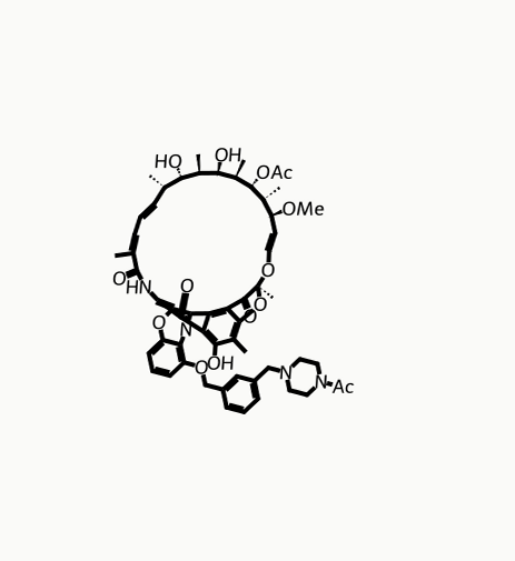 CO[C@H]1/C=C/O[C@@]2(C)Oc3c(C)c(O)c4c(=O)c(c5oc6cccc(OCc7cccc(CN8CCN(C(C)=O)CC8)c7)c6nc-5c4c3C2=O)NC(=O)/C(C)=C\C=C\[C@H](C)[C@H](O)[C@@H](C)[C@@H](O)[C@@H](C)[C@H](OC(C)=O)[C@@H]1C